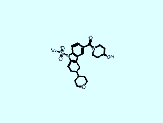 CCS(=O)(=O)n1c2c(c3cc(C(=O)N4CCC(O)CC4)ccc31)CC(C1CCOCC1)CC2